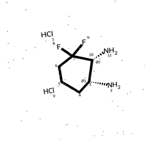 Cl.Cl.N[C@@H]1CCCC(F)(F)[C@@H]1N